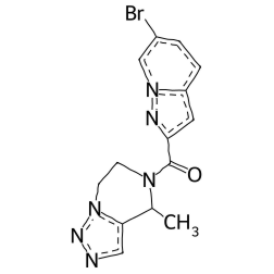 CC1c2cnnn2CCN1C(=O)c1cc2ccc(Br)cn2n1